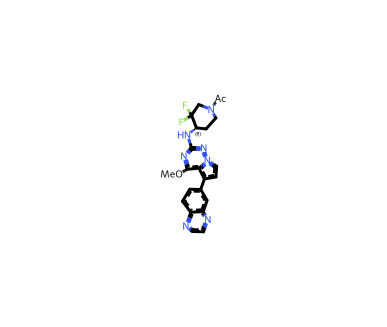 COc1nc(N[C@@H]2CCN(C(C)=O)CC2(F)F)nn2ccc(-c3ccc4nccnc4c3)c12